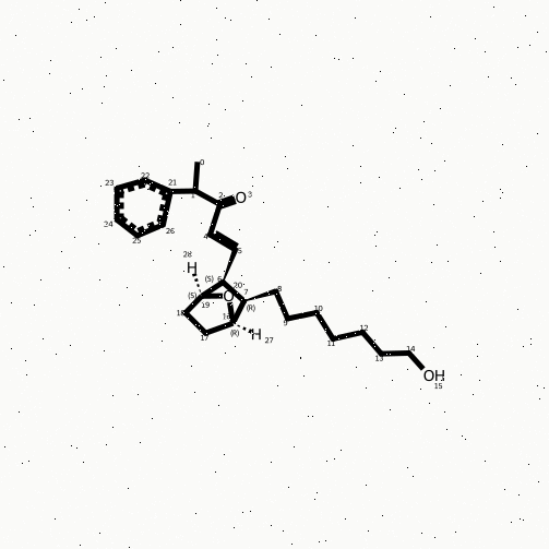 CC(C(=O)C=C[C@H]1[C@@H](CCCCCCCO)[C@H]2CC[C@@H]1O2)c1ccccc1